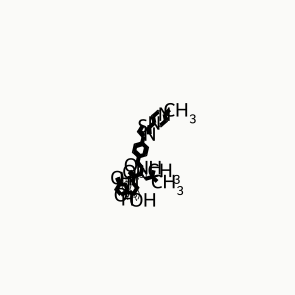 CC(C)C[C@H](NC(=O)c1ccc(-c2csc(N3CCN(C)CC3)n2)cc1)C(=O)N1C[C@H](O)[C@H]2OCC(=O)[C@H]21